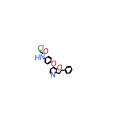 O=C(CCl)Nc1ccc(Oc2ccnc3c2OC(c2ccccc2)C3)cc1